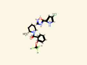 C[C@@H]1CC[C@H](c2noc(-c3cc(Cl)c[nH]3)n2)CN1C(=O)c1ccccc1OC(F)(F)F